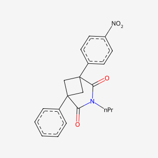 CCCN1C(=O)C2(c3ccccc3)CC(c3ccc([N+](=O)[O-])cc3)(C2)C1=O